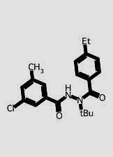 CCc1ccc(C(=O)N(NC(=O)c2cc(C)cc(Cl)c2)C(C)(C)C)cc1